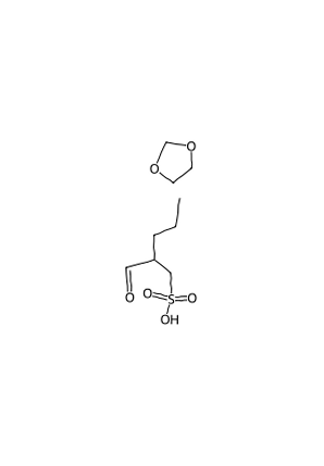 C1COCO1.CCCC(C=O)CS(=O)(=O)O